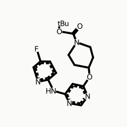 CC(C)(C)OC(=O)N1CCC(Oc2cc(Nc3ccc(F)cn3)ncn2)CC1